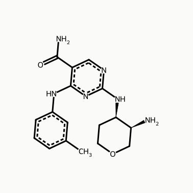 Cc1cccc(Nc2nc(N[C@@H]3CCOC[C@@H]3N)ncc2C(N)=O)c1